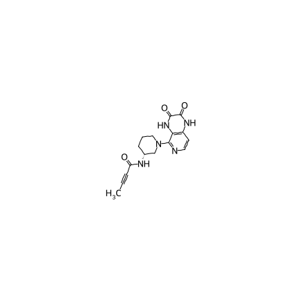 CC#CC(=O)N[C@@H]1CCCN(c2nccc3[nH]c(=O)c(=O)[nH]c23)C1